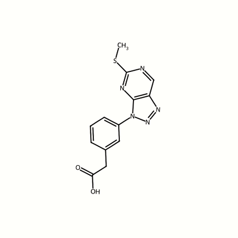 CSc1ncc2nnn(-c3cccc(CC(=O)O)c3)c2n1